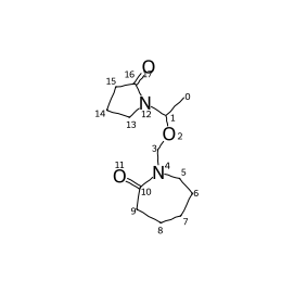 CC(OCN1CCCCCC1=O)N1CCCC1=O